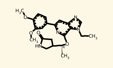 CCn1cnc2cc(-c3ccc(OC)c(OC)c3)nc(O[C@H](C)C3CNC(=O)C3)c21